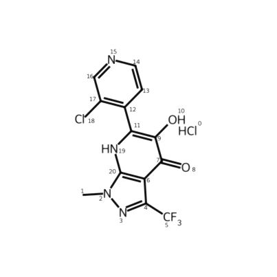 Cl.Cn1nc(C(F)(F)F)c2c(=O)c(O)c(-c3ccncc3Cl)[nH]c21